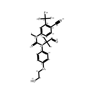 CN(C(=S)N(c1ccc(OCCO)cc1)C(C)(C)C=O)c1ccc(C#N)c(C(F)(F)F)c1